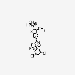 CNC(=O)c1sc2c(c1C)CN(C1=NOC(c3cc(Cl)cc(Cl)c3)(C(F)(F)F)C1)C2